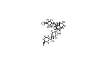 CC(c1cccc(F)c1)N1CCC(CNc2ccccc2C(=O)Nc2ccc(Cl)cn2)CC1